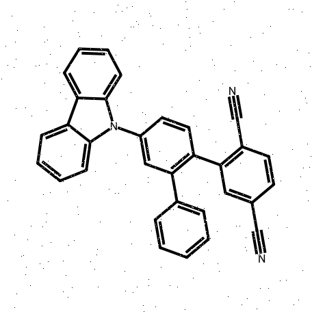 N#Cc1ccc(C#N)c(-c2ccc(-n3c4ccccc4c4ccccc43)cc2-c2ccccc2)c1